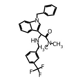 CN(C)C(=O)C(NCc1cccc(C(F)(F)F)c1)c1cn(Cc2ccccc2)c2ccccc12